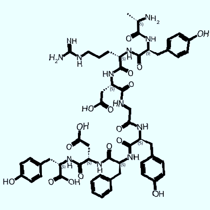 C[C@H](N)C(=O)N[C@@H](Cc1ccc(O)cc1)C(=O)N[C@@H](CCCNC(=N)N)C(=O)N[C@@H](CC(=O)O)C(=O)NCC(=O)N[C@@H](Cc1ccc(O)cc1)C(=O)N[C@@H](Cc1ccccc1)C(=O)N[C@@H](CC(=O)O)C(=O)N[C@@H](Cc1ccc(O)cc1)C(=O)O